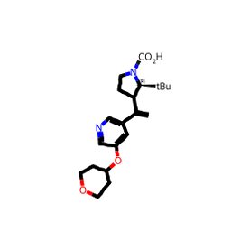 C=C(c1cncc(OC2CCOCC2)c1)C1CCN(C(=O)O)[C@H]1C(C)(C)C